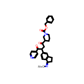 CO/N=C1/CCc2cc(C(CC(=O)C3CCCN(C(=O)OCc4ccccc4)C3)C(=O)c3ccncc3)ccc21